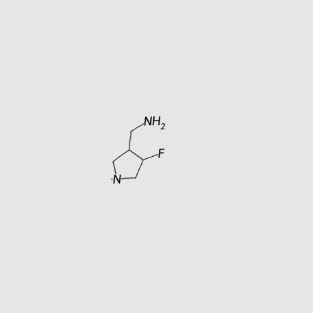 NCC1C[N]CC1F